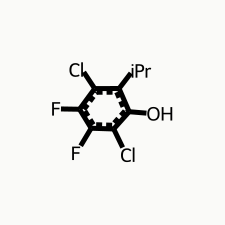 CC(C)c1c(O)c(Cl)c(F)c(F)c1Cl